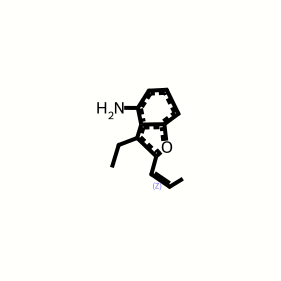 C/C=C\c1oc2cccc(N)c2c1CC